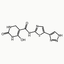 O=C1NCC(C(=O)Nc2ncc(-c3c[nH]nn3)s2)=C(O)N1